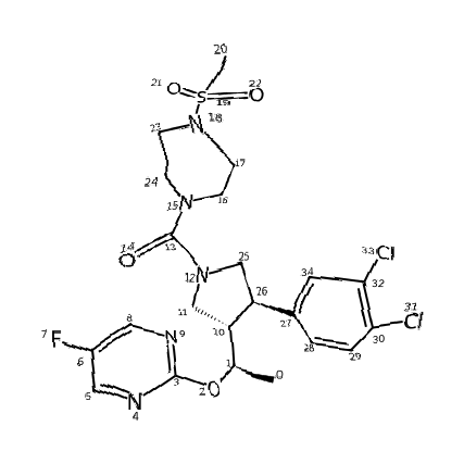 C[C@@H](Oc1ncc(F)cn1)[C@@H]1CN(C(=O)N2CCN(S(C)(=O)=O)CC2)C[C@H]1c1ccc(Cl)c(Cl)c1